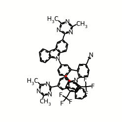 Cc1nc(C)nc(-c2ccc3c(c2)c2ccccc2n3-c2ccc(-c3cc(C(F)(F)F)cc(C(F)(F)F)c3)c(-c3cc(C#N)ccc3-n3c4ccccc4c4cc(-c5nc(C)nc(C)n5)ccc43)c2)n1